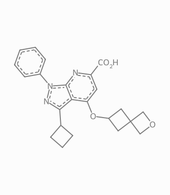 O=C(O)c1cc(OC2CC3(COC3)C2)c2c(C3CCC3)nn(-c3ccccc3)c2n1